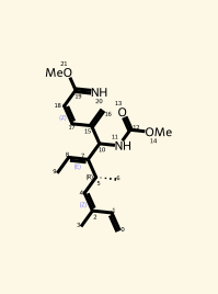 C=C/C(C)=C\[C@@H](C)/C(=C\C)C(NC(=O)OC)C(=C)/C=C\C(=N)OC